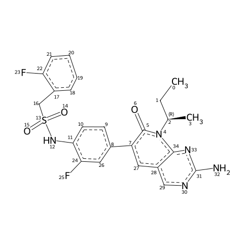 CC[C@@H](C)n1c(=O)c(-c2ccc(NS(=O)(=O)Cc3ccccc3F)c(F)c2)cc2cnc(N)nc21